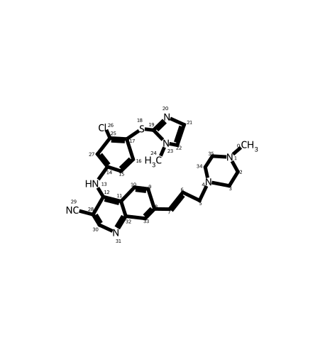 CN1CCN(C/C=C/c2ccc3c(Nc4ccc(Sc5nccn5C)c(Cl)c4)c(C#N)cnc3c2)CC1